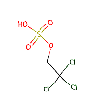 O=S(=O)(O)OCC(Cl)(Cl)Cl